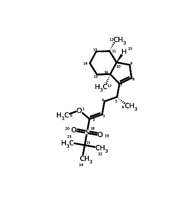 CO/C(=C\C[C@@H](C)C1=CC[C@H]2[C@@H](C)CCC[C@]12C)S(=O)(=O)C(C)(C)C